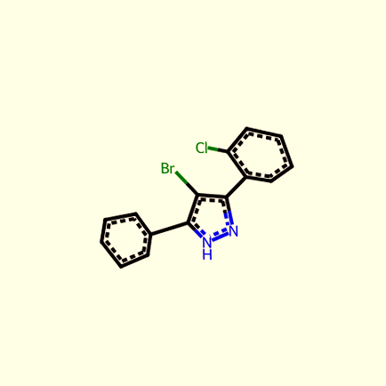 Clc1ccccc1-c1n[nH]c(-c2ccccc2)c1Br